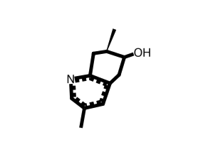 Cc1cnc2c(c1)CC(O)[C@H](C)C2